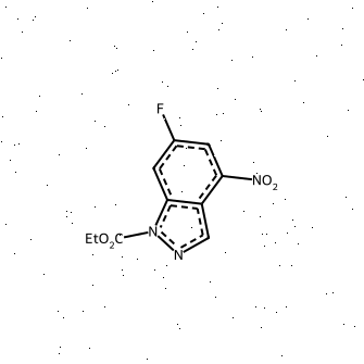 CCOC(=O)n1ncc2c([N+](=O)[O-])cc(F)cc21